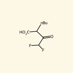 CCCCC(C(=O)O)C(=O)C(F)F